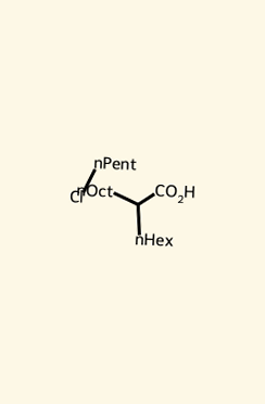 CCCCCCCCC(CCCCCC)C(=O)O.CCCCCCl